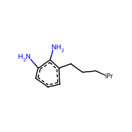 CC(C)CCCc1cccc(N)c1N